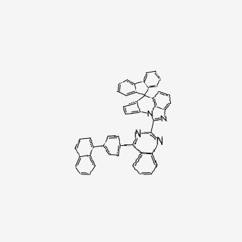 c1ccc2c(c1)-c1ccccc1C21c2ccccc2-n2c(-c3nc(-c4ccc(-c5cccc6ccccc56)cc4)c4ccccc4n3)nc3cccc1c32